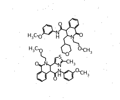 COCCN1C(=O)c2ccccc2C(C(=O)Nc2cccc(OC)c2)C1CC1CCOCC1.COCCN1C(=O)c2ccccc2C(C(=O)Nc2cccc(OC)c2)C1c1csc(C)n1